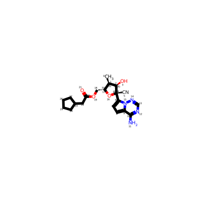 C[C@H]1[C@@H](O)[C@](C#N)(c2ccc3c(N)ncnn23)O[C@@H]1COC(=O)CC1CCCC1